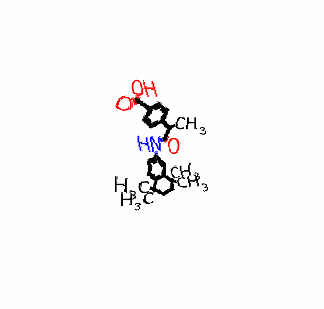 CC(C(=O)Nc1ccc2c(c1)C(C)(C)CCC2(C)C)c1ccc(C(=O)O)cc1